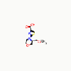 COCC1COCCN1c1nc(C(=O)O)cs1